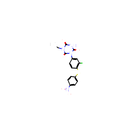 CCn1c(=O)[nH]c(=O)n(-c2ccc(Sc3ccc([N+](=O)[O-])cc3)c(Cl)c2)c1=O